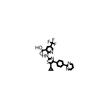 O=C(O)c1cc(C(F)(F)F)cnc1Nc1nc(-c2ccc(-c3ncccn3)cc2)c(C2CC2)s1